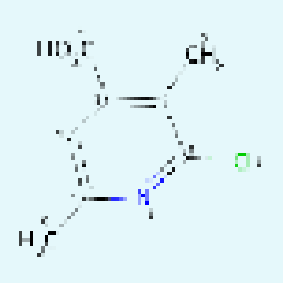 Cc1cc(C(=O)O)c(C)c(Cl)n1